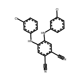 N#Cc1cc(Nc2cccc(Cl)c2)c(Nc2cccc(Cl)c2)cc1C#N